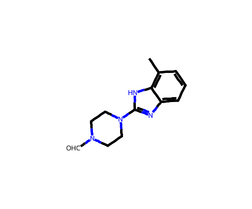 Cc1cccc2nc(N3CCN(C=O)CC3)[nH]c12